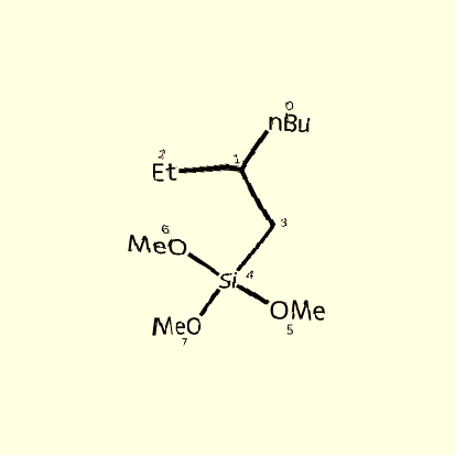 CCCCC(CC)C[Si](OC)(OC)OC